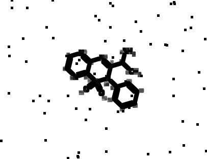 CC(N)C1=Nc2nccnc2S(=O)(=O)N1c1ccccc1